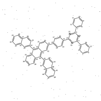 c1ccc(-c2nc(-c3ccccc3)nc(-c3ccc(-c4ccc5c(-c6ccc7ccccc7c6)c6ccccc6c(-c6ccc7ccccc7c6)c5c4)cc3)n2)cc1